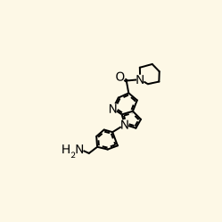 NCc1ccc(-n2ccc3cc(C(=O)N4CCCCC4)cnc32)cc1